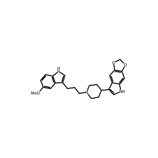 COc1ccc2[nH]cc(CCCN3CCC(c4c[nH]c5cc6c(cc45)OCO6)CC3)c2c1